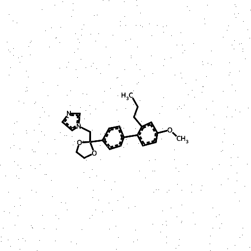 CCCc1cc(OC)ccc1-c1ccc(C2(Cn3ccnc3)OCCO2)cc1